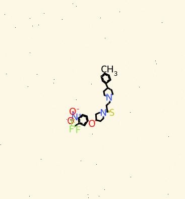 Cc1ccc(C2CCN(CCC(=S)N3CCC(Oc4ccc([N+](=O)[O-])c(C(F)(F)F)c4)CC3)CC2)cc1